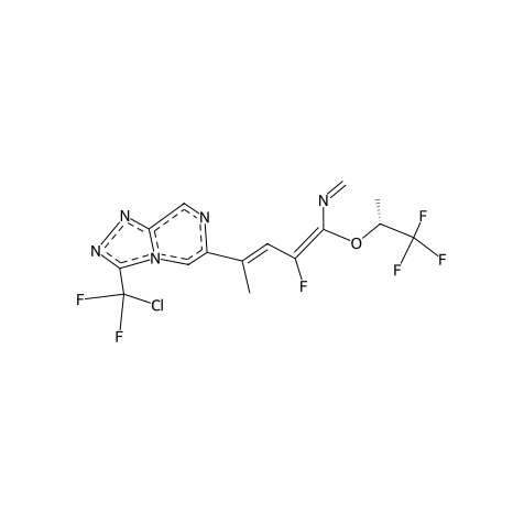 C=N/C(O[C@H](C)C(F)(F)F)=C(F)\C=C(/C)c1cn2c(C(F)(F)Cl)nnc2cn1